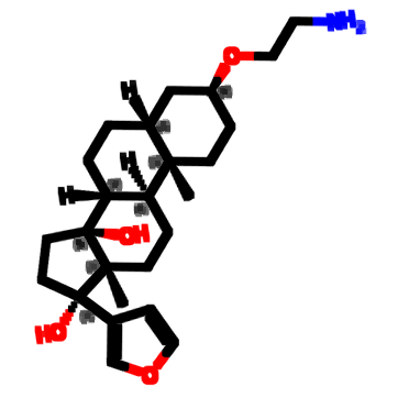 C[C@]12CC[C@H](OCCN)C[C@H]1CC[C@@H]1[C@@H]2CC[C@]2(C)[C@@](O)(c3ccoc3)CC[C@]12O